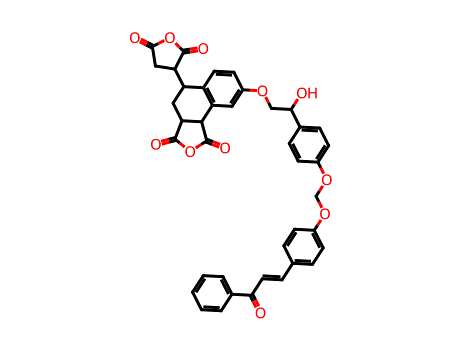 O=C1CC(C2CC3C(=O)OC(=O)C3c3cc(OCC(O)c4ccc(OCOc5ccc(C=CC(=O)c6ccccc6)cc5)cc4)ccc32)C(=O)O1